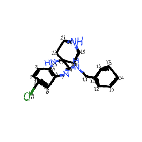 Clc1ccc2c(c1)N=C(NCc1ccccc1)C1(CCNCC1)N2